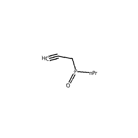 C#CC[P](=O)CCC